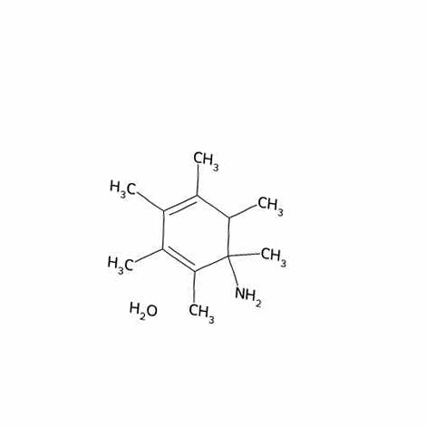 CC1=C(C)C(C)C(C)(N)C(C)=C1C.O